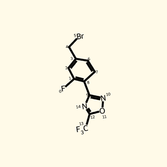 Fc1cc(CBr)ccc1-c1noc(C(F)(F)F)n1